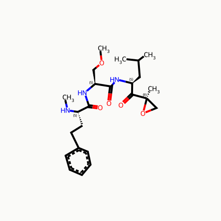 CN[C@@H](CCc1ccccc1)C(=O)N[C@@H](COC)C(=O)N[C@@H](CC(C)C)C(=O)[C@@]1(C)CO1